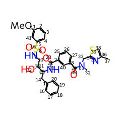 COc1cccc(S(=O)(=O)NC[C@@H](O)[C@H](Cc2ccccc2)NC(=O)c2cccc(C(=O)N(C)Cc3nc(C)cs3)c2)c1